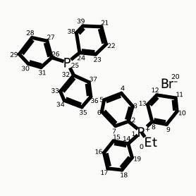 CC[P+](c1ccccc1)(c1ccccc1)c1ccccc1.[Br-].c1ccc(P(c2ccccc2)c2ccccc2)cc1